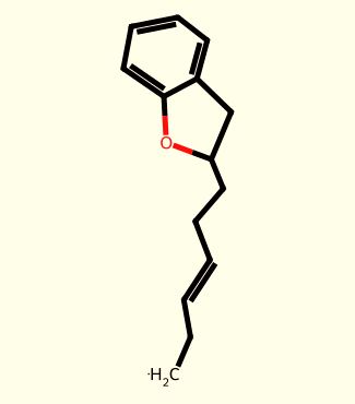 [CH2]CC=CCCC1Cc2ccccc2O1